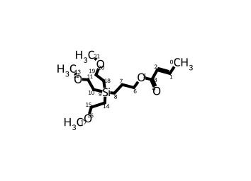 CC=CC(=O)OCCC[Si](CCOC)(CCOC)CCOC